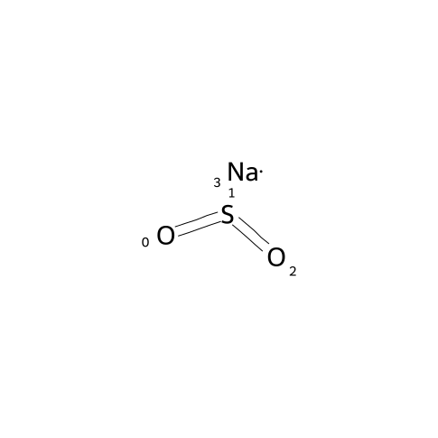 O=S=O.[Na]